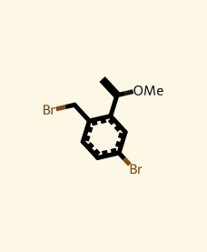 C=C(OC)c1cc(Br)ccc1CBr